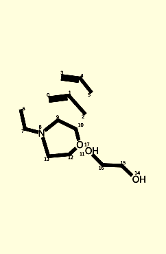 C=CC.C=CC.CCN1CCOCC1.OCCO